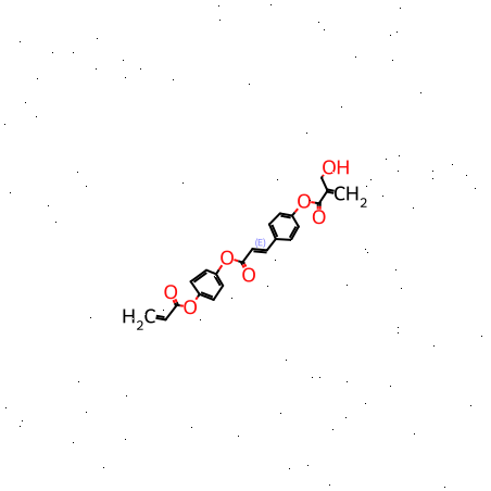 C=CC(=O)Oc1ccc(OC(=O)/C=C/c2ccc(OC(=O)C(=C)CO)cc2)cc1